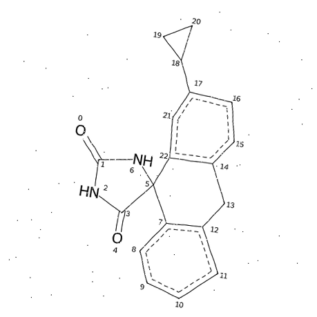 O=C1NC(=O)C2(N1)c1ccccc1Cc1ccc(C3CC3)cc12